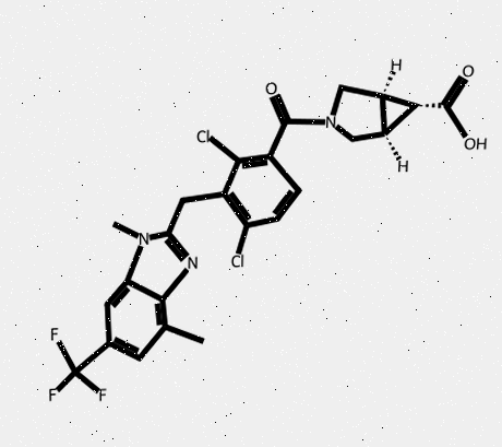 Cc1cc(C(F)(F)F)cc2c1nc(Cc1c(Cl)ccc(C(=O)N3C[C@@H]4[C@H](C3)[C@H]4C(=O)O)c1Cl)n2C